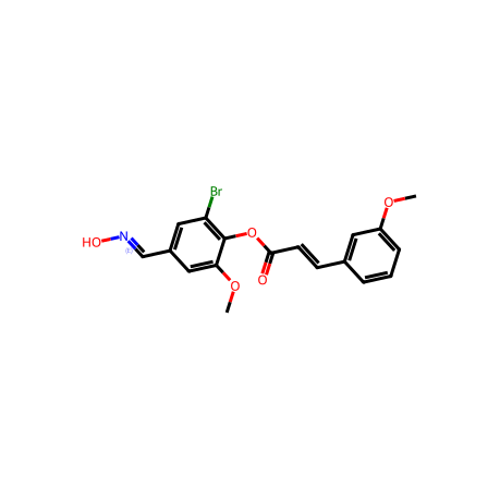 COc1cccc(C=CC(=O)Oc2c(Br)cc(/C=N/O)cc2OC)c1